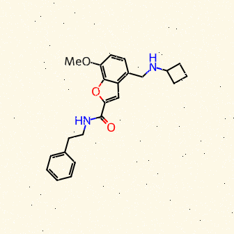 COc1ccc(CNC2CCC2)c2cc(C(=O)NCCc3ccccc3)oc12